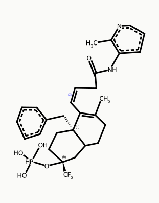 CC1=C(/C=C\CC(=O)Nc2cccnc2C)[C@]2(Cc3ccccc3)CC[C@](O[PH](O)(O)O)(C(F)(F)F)CC2CC1